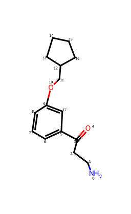 NCCC(=O)c1cccc(OCC2CCCC2)c1